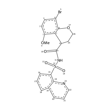 COc1ccc(Br)c2c1C(C(=O)NS(=O)(=O)c1cccc3cccnc13)CCO2